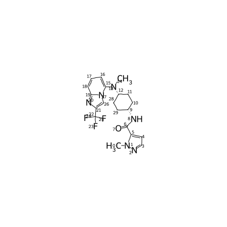 Cn1nccc1C(=O)N[C@H]1CC[C@@H](N(C)c2cccc3nc(C(F)(F)F)cn23)CC1